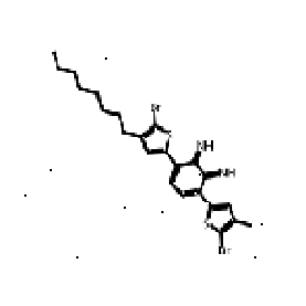 CCCCCCCCc1cc(C2=CC=C(c3cc(C)c(Br)s3)C(=N)C2=N)sc1Br